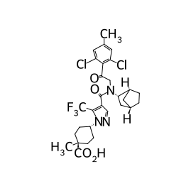 Cc1cc(Cl)c(C(=O)CN(C(=O)c2cnn([C@H]3CC[C@](C)(C(=O)O)CC3)c2C(F)(F)F)[C@H]2C[C@H]3CC[C@H]2C3)c(Cl)c1